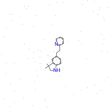 CC1(C)CNc2ccc(CCc3ccccn3)cc21